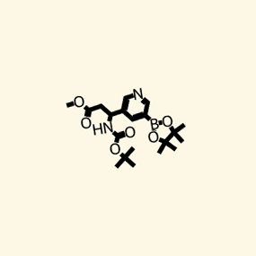 COC(=O)CC(NC(=O)OC(C)(C)C)c1cncc(B2OC(C)(C)C(C)(C)O2)c1